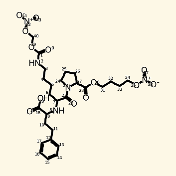 O=C(NCCCCC(NC(CCc1ccccc1)C(=O)O)C(=O)N1CCCC1C(=O)OCCCCO[N+](=O)[O-])OCO[N+](=O)[O-]